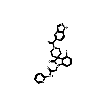 O=C(CN1C(=O)C2(CCN(C(=O)c3ccc4[nH]ncc4c3)CC2)c2c(Br)cccc21)Nc1ccccn1